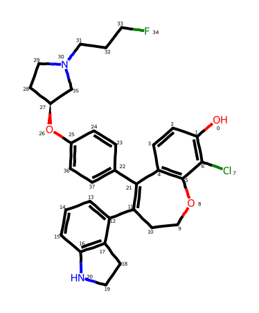 Oc1ccc2c(c1Cl)OCCC(c1cccc3c1CCN3)=C2c1ccc(O[C@H]2CCN(CCCF)C2)cc1